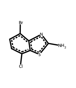 Nc1nc2c(Br)ccc(Cl)c2s1